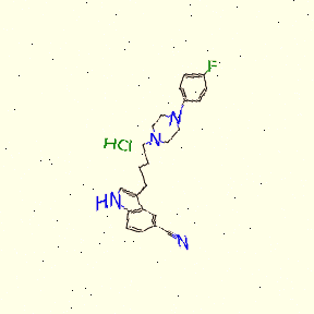 Cl.N#Cc1ccc2[nH]cc(CCCCN3CCN(c4ccc(F)cc4)CC3)c2c1